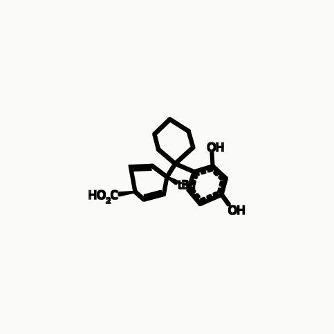 CC(C)(C)[C@]1(C2(c3ccc(O)cc3O)CCCCC2)C=C[C@H](C(=O)O)C=C1